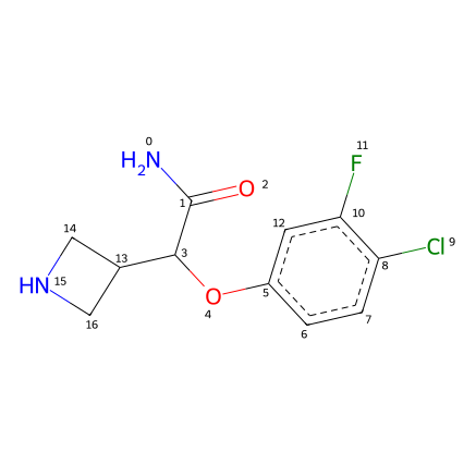 NC(=O)C(Oc1ccc(Cl)c(F)c1)C1CNC1